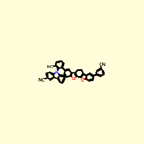 N#Cc1cccc(C2=CC3C4=C(OC3C=C2)c2oc3ccc(-c5cccc(C#N)c5-n5c6ccccc6c6cc(C#N)ccc65)cc3c2CC4)c1